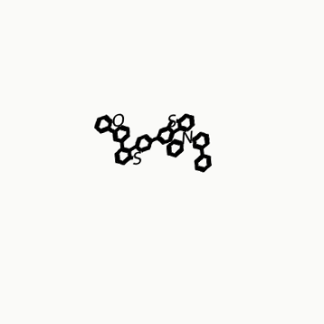 c1ccc(-c2cccc(N(c3ccccc3)c3cccc4sc5cc(-c6ccc7c(c6)sc6cccc(-c8ccc9oc%10ccccc%10c9c8)c67)ccc5c34)c2)cc1